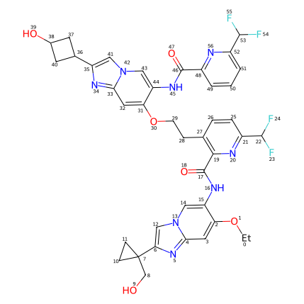 CCOc1cc2nc(C3(CO)CC3)cn2cc1NC(=O)c1nc(C(F)F)ccc1CCOc1cc2nc(C3CC(O)C3)cn2cc1NC(=O)c1cccc(C(F)F)n1